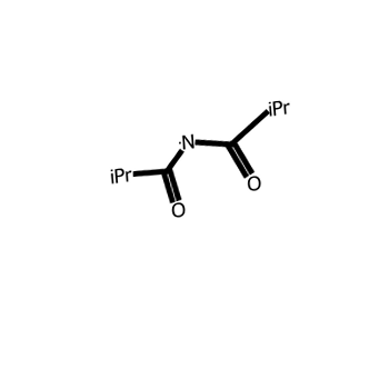 CC(C)C(=O)[N]C(=O)C(C)C